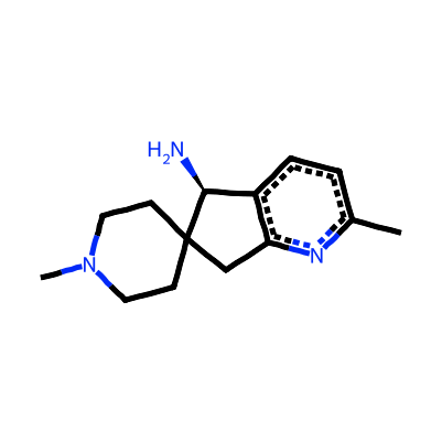 Cc1ccc2c(n1)CC1(CCN(C)CC1)[C@H]2N